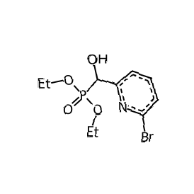 CCOP(=O)(OCC)C(O)c1cccc(Br)n1